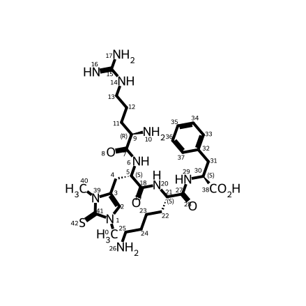 Cn1cc(C[C@H](NC(=O)[C@H](N)CCCNC(=N)N)C(=O)N[C@@H](CCCCN)C(=O)N[C@@H](Cc2ccccc2)C(=O)O)n(C)c1=S